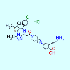 Cc1sc2c(c1C)C(c1ccc(Cl)cc1)=N[C@@H](CC(=O)N1CCC3(CC1)CN(c1ccc(C(=O)O)c(C#CCN)c1)C3)c1nnc(C)n1-2.Cl